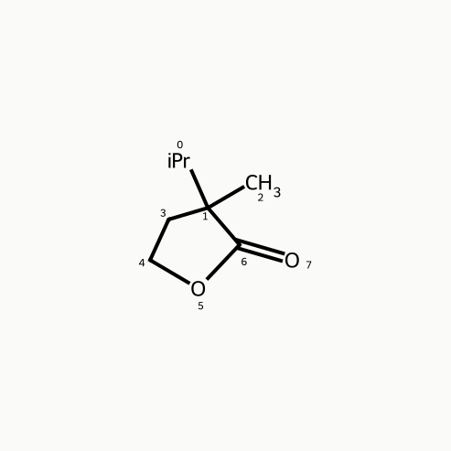 CC(C)C1(C)CCOC1=O